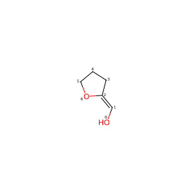 OC=C1CCCO1